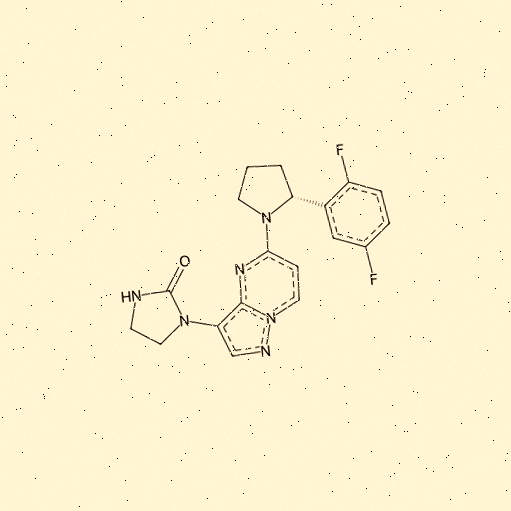 O=C1NCCN1c1cnn2ccc(N3CCC[C@@H]3c3cc(F)ccc3F)nc12